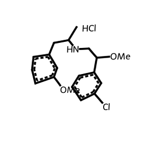 COc1cccc(CC(C)NCC(OC)c2cccc(Cl)c2)c1.Cl